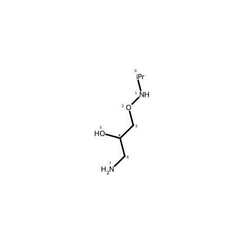 CC(C)NOCC(O)CN